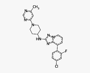 Cc1cc(N2CCC(Nc3nc4c(-c5ccc(Cl)cc5F)cccn4n3)CC2)ncn1